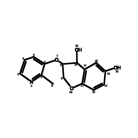 Cc1ncccc1OC1COc2ccc(O)cc2C1O